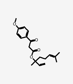 C=CC(C)(CCC=C(C)C)OC(=O)CC(=O)c1ccc(OC)cc1